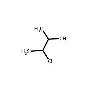 CC(C)C([SiH3])Cl